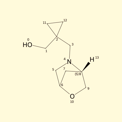 OCC1(CN2CC3C[C@H]2CO3)CC1